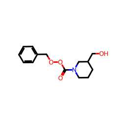 O=C(OOCc1ccccc1)N1CCCC(CO)C1